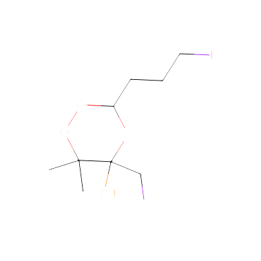 CC1(C)OOC(CCCI)OC1(P)CI